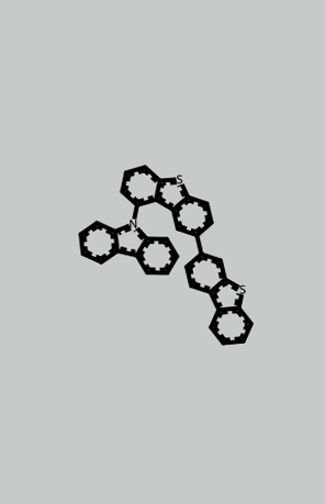 c1ccc2c(c1)sc1cc(-c3ccc4sc5cccc(-n6c7ccccc7c7ccccc76)c5c4c3)ccc12